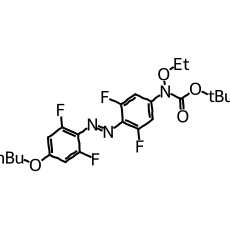 CCCCOc1cc(F)c(/N=N/c2c(F)cc(N(OCC)C(=O)OC(C)(C)C)cc2F)c(F)c1